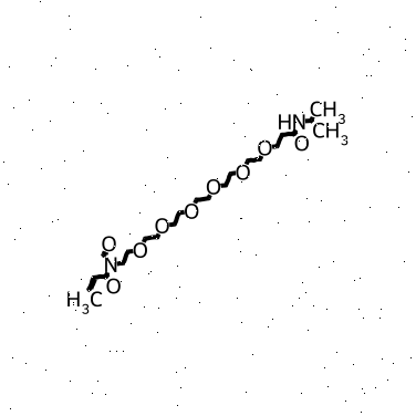 C/C=C\C(=O)N(C=O)CCOCCOCCOCCOCCOCCOCCC(=O)NC(C)C